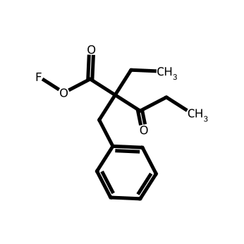 CCC(=O)C(CC)(Cc1ccccc1)C(=O)OF